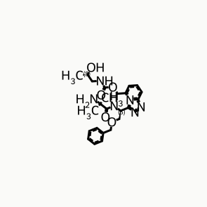 C[C@H](O)CNC(=O)OCc1cccc2nnc([C@@H](COCc3ccccc3)NC(=O)C(C)(C)N)n12